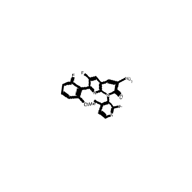 COc1cccc(F)c1-c1nc2c(cc1F)cc([N+](=O)[O-])c(=O)n2-c1c(C)ccnc1C(C)C